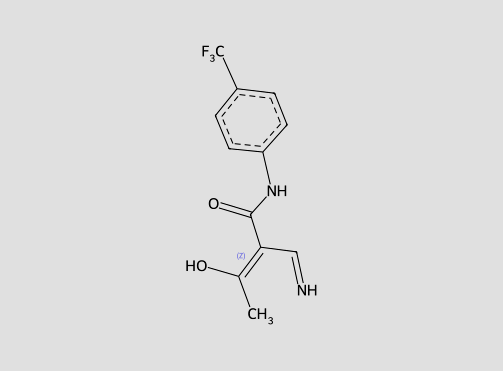 C/C(O)=C(\C=N)C(=O)Nc1ccc(C(F)(F)F)cc1